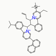 C=CCC1C(C2c3ccc(C(C)C)cc3-c3ccc(-c4cccc5ccccc45)c[n+]32)c2ccccc2-c2cc(CC)c([Si](C)(C)C)c[n+]21